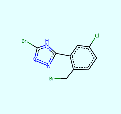 Clc1ccc(CBr)c(-c2nnc(Br)[nH]2)c1